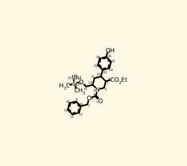 CCOC(=O)C1CN(C(=O)OCc2ccccc2)C(CO[Si](C)(C)C(C)(C)C)CC1c1ccc(O)cc1